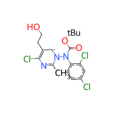 CC1=NC(Cl)=C(CCO)[CH]N1N(C(=O)OC(C)(C)C)c1ccc(Cl)cc1Cl